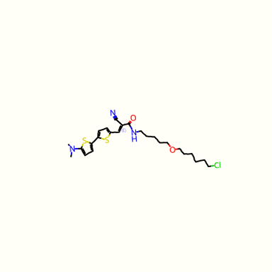 CN(C)c1ccc(-c2ccc(/C=C(\C#N)C(=O)NCCCCCOCCCCCCCl)s2)s1